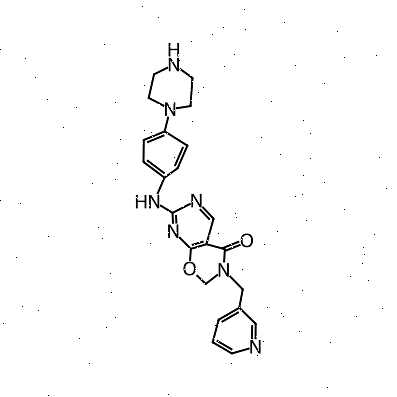 O=C1c2cnc(Nc3ccc(N4CCNCC4)cc3)nc2OCN1Cc1cccnc1